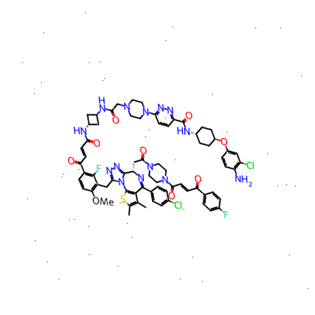 COc1ccc(C(=O)/C=C/C(=O)N[C@H]2C[C@H](NC(=O)CN3CCN(c4ccc(C(=O)N[C@H]5CC[C@H](Oc6ccc(N)c(Cl)c6)CC5)nn4)CC3)C2)c(F)c1Cc1nnc2n1-c1sc(C)c(C)c1C(c1ccc(Cl)cc1)=N[C@H]2CC(=O)N1CCN(C(=O)/C=C/C(=O)c2ccc(F)cc2)CC1